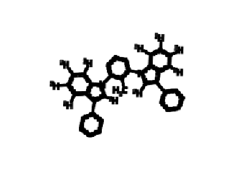 [2H]c1c([2H])c([2H])c2c(c1[2H])c(-c1ccccc1)c([2H])n2-c1cccc(-n2c([2H])c(-c3ccccc3)c3c([2H])c([2H])c([2H])c([2H])c32)c1C